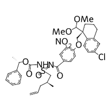 C=CC[C@H](C)CS(=O)(=NC(=O)c1ccc(OC[C@@]2(C(OC)OC)CCCc3cc(Cl)ccc32)c([N+](=O)[O-])c1)NC(=O)O[C@@H](C)c1ccccc1